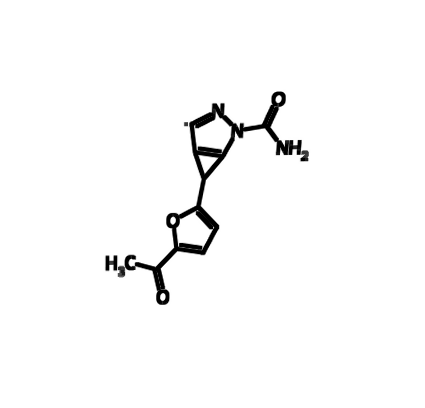 CC(=O)c1ccc(C2c3[c]nn(C(N)=O)c32)o1